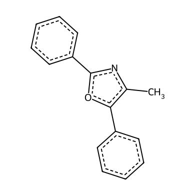 Cc1nc(-c2ccccc2)oc1-c1ccccc1